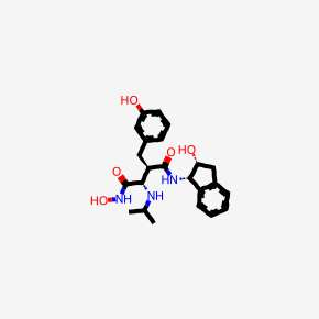 CC(C)N[C@H](C(=O)NO)[C@@H](Cc1cccc(O)c1)C(=O)N[C@H]1c2ccccc2C[C@H]1O